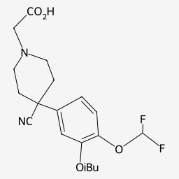 CC(C)COc1cc(C2(C#N)CCN(CC(=O)O)CC2)ccc1OC(F)F